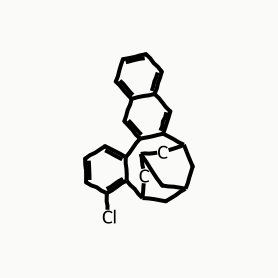 Clc1cccc2c1C1CC3CC(CC(C3)c3cc4ccccc4cc3-2)C1